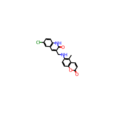 Cc1c(NCc2cc3cc(Cl)ccc3[nH]c2=O)ccc2oc(=O)ccc12